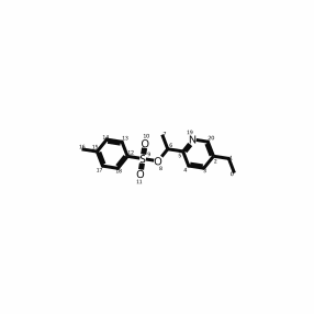 CCc1ccc(C(C)OS(=O)(=O)c2ccc(C)cc2)nc1